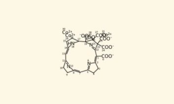 O=C([O-])C1=C2CCC(=N2)C=C2CCC(=N2)C=C2CCC(N2)C2(C(=O)[O-])N=C1C(C(=O)[O-])(C(=O)[O-])C2(C(=O)[O-])C(=O)[O-].[Co+2].[Co+2].[Co+2]